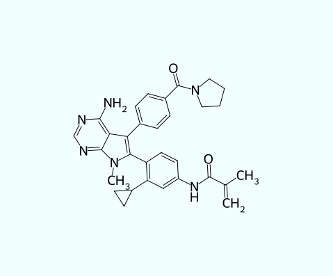 C=C(C)C(=O)Nc1ccc(-c2c(-c3ccc(C(=O)N4CCCC4)cc3)c3c(N)ncnc3n2C)c(C2CC2)c1